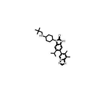 Cc1c(-c2cc3[nH]c(=O)n(C4CCC(NCC(C)(C)C)CC4)c3cc2C(C)C)cn2ncnc2c1C